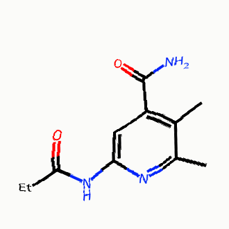 CCC(=O)Nc1cc(C(N)=O)c(C)c(C)n1